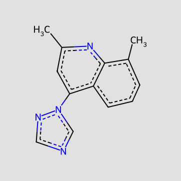 Cc1cc(-n2cncn2)c2cccc(C)c2n1